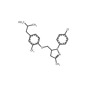 CC1=NN(c2ccc(Cl)cc2)C(COc2ccc(CC(C)C(=O)O)cc2C(F)(F)F)C1